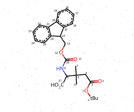 CC(C)(C)OC(=O)CC(C)(C)C(NC(=O)OCC1c2ccccc2-c2ccccc21)C(=O)O